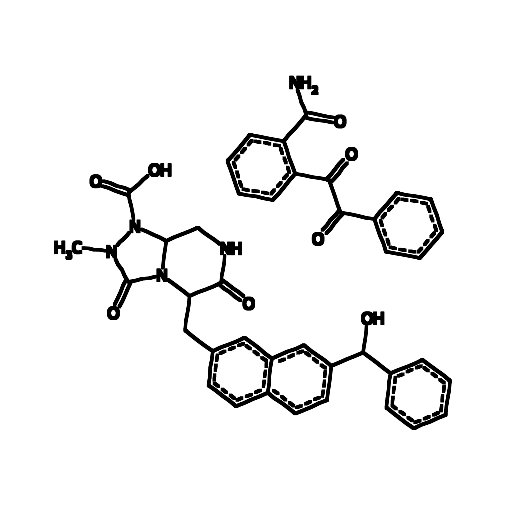 CN1C(=O)N2C(Cc3ccc4ccc(C(O)c5ccccc5)cc4c3)C(=O)NCC2N1C(=O)O.NC(=O)c1ccccc1C(=O)C(=O)c1ccccc1